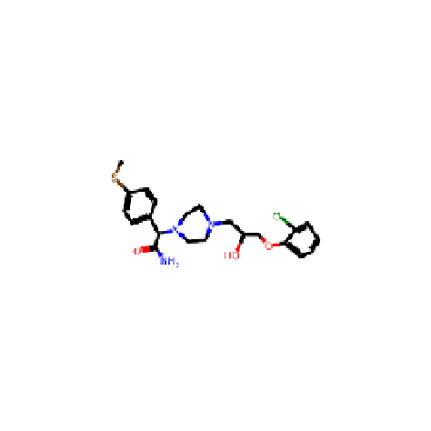 CSc1ccc(C(C(N)=O)N2CCN(CC(O)COc3ccccc3Cl)CC2)cc1